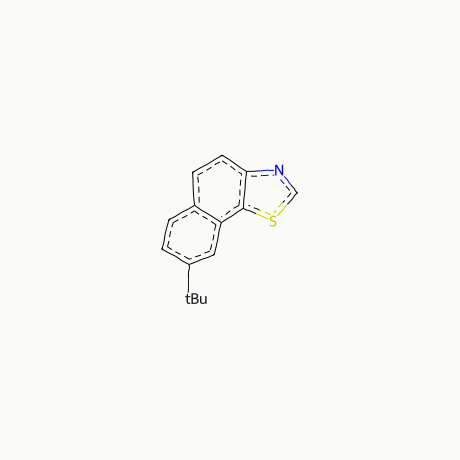 CC(C)(C)c1ccc2ccc3ncsc3c2c1